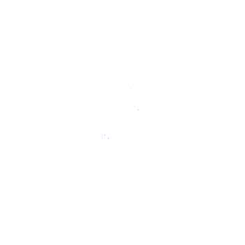 CC(C)(C)OC(=O)NCCCCNC1CCCCC1